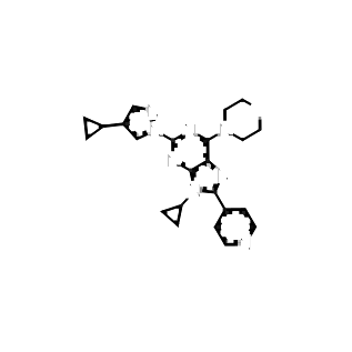 c1cc(-c2nc3c(N4CCOCC4)nc(-n4cc(C5CC5)cn4)nc3n2C2CC2)ccn1